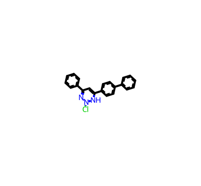 ClN1N=C(c2ccccc2)C=C(c2ccc(-c3ccccc3)cc2)N1